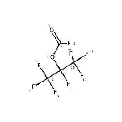 O=C(F)OC(F)(C(F)(F)F)C(F)(F)F